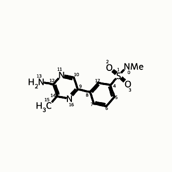 CNS(=O)(=O)c1cccc(-c2cnc(N)c(C)n2)c1